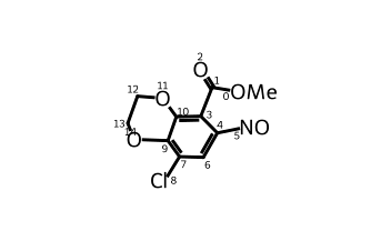 COC(=O)c1c(N=O)cc(Cl)c2c1OCCO2